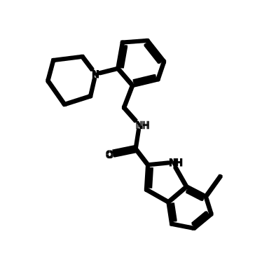 Cc1cccc2cc(C(=O)NCc3ccccc3N3CCCCC3)[nH]c12